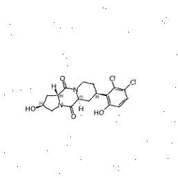 O=C1[C@@H]2C[C@H](c3c(O)ccc(Cl)c3Cl)CCN2C(=O)[C@H]2C[C@H](O)CN12